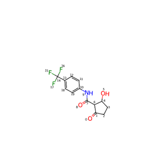 O=C1CCC(O)C1C(=O)Nc1ccc(C(F)(F)F)cc1